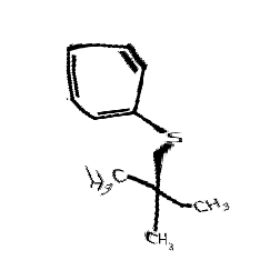 CC(C)(C)Sc1c[c]ccc1